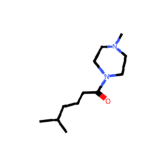 CC(C)CCCC(=O)N1CCN(C)CC1